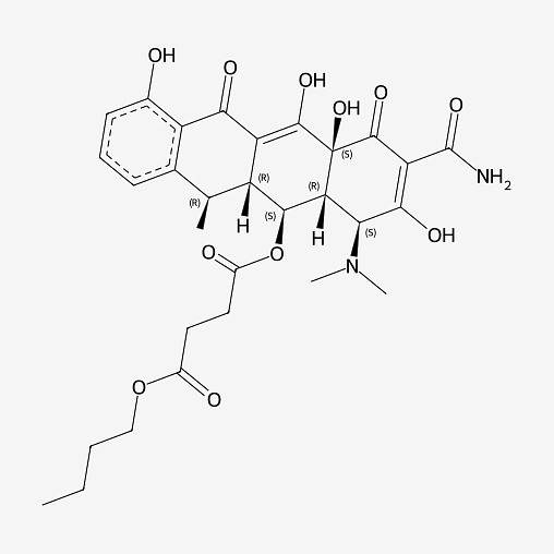 CCCCOC(=O)CCC(=O)O[C@H]1[C@H]2C(=C(O)[C@]3(O)C(=O)C(C(N)=O)=C(O)[C@@H](N(C)C)[C@H]13)C(=O)c1c(O)cccc1[C@@H]2C